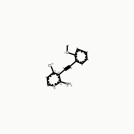 COc1ccccc1C#Cc1c(Cl)ccnc1N